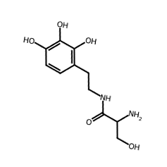 NC(CO)C(=O)NCCc1ccc(O)c(O)c1O